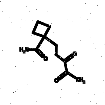 NC(=O)C(=O)[CH]CC1(C(N)=O)CCC1